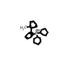 B[PH](C1=C(c2ccccc2C)C2C=CC1C2)(C1CCCCC1)C1CCCCC1